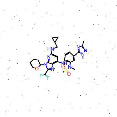 Cc1nc(-c2ccc(Nc3cc(NCC4CC4)nc4c3nc(C(F)F)n4C3CCCCO3)c(N(C)S(C)(=O)=O)c2)n(C)n1